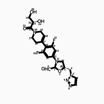 O=CC1O[C@@H](Cn2ccnn2)CN1c1cc(F)c(C2=CCN(C(=O)[C@@H](O)CO)CC2)c(F)c1